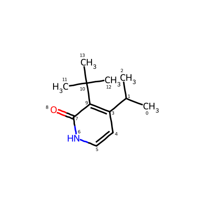 CC(C)c1cc[nH]c(=O)c1C(C)(C)C